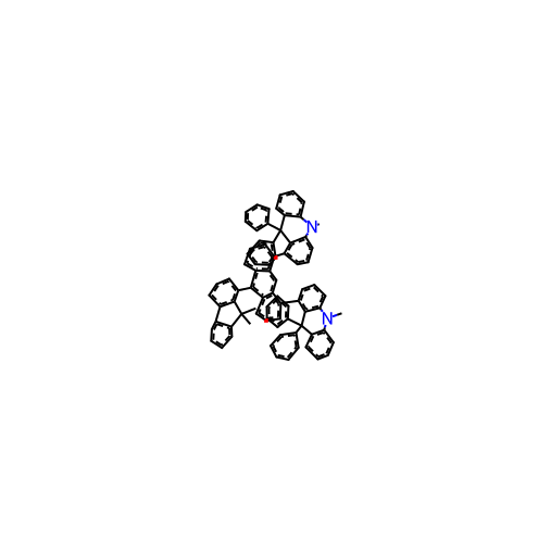 CN1c2ccccc2C(c2ccccc2)(c2ccccc2)c2c(-c3cccc4c(-c5cccc6c5C(C)(C)c5ccccc5-6)c5cccc(-c6cccc7c6C(c6ccccc6)(c6ccccc6)c6ccccc6N7C)c5cc34)cccc21